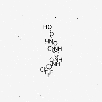 O=C(Nc1ccc(Cl)c(C(F)(F)F)c1)NC1CCc2[nH]c3c(C(=O)NCCOCCO)cccc3c2C1